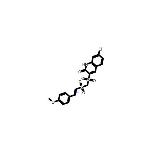 COc1ccc(/C=C/S(=O)(=O)CS(=O)(=O)c2cc3ccc(Cl)cc3[nH]c2=O)cc1